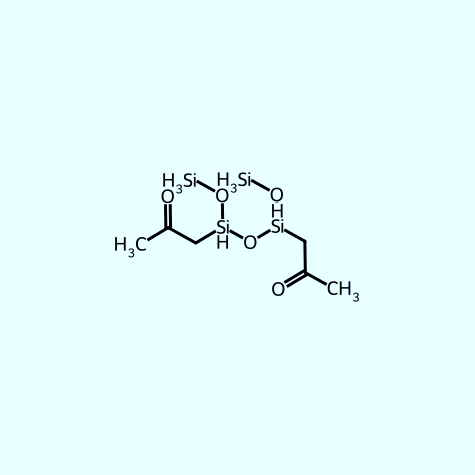 CC(=O)C[SiH](O[SiH3])O[SiH](CC(C)=O)O[SiH3]